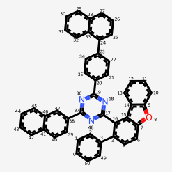 c1ccc(-c2ccc3oc4ccccc4c3c2-c2nc(-c3ccc(-c4cccc5ccccc45)cc3)nc(-c3ccc4ccccc4c3)n2)cc1